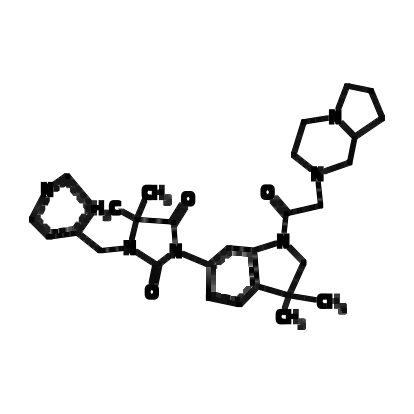 CC1(C)CN(C(=O)CN2CCN3CCCC3C2)c2cc(N3C(=O)N(Cc4ccncc4)C(C)(C)C3=O)ccc21